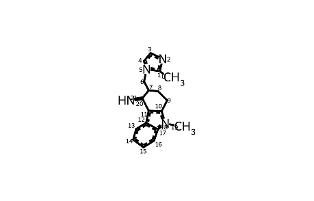 Cc1nccn1CC1CCc2c(c3ccccc3n2C)C1=N